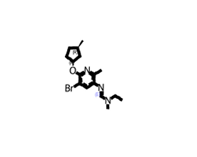 CCN(C)/C=N/c1cc(Br)c(O[C@@H]2CC[C@@H](C)C2)nc1C